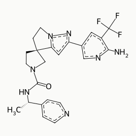 C[C@H](NC(=O)N1CC[C@]2(CCn3nc(-c4cnc(N)c(C(F)(F)F)c4)cc32)C1)c1ccncc1